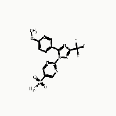 COc1ccc(-c2nc(C(F)(F)F)nn2-c2ncc(S(C)(=O)=O)cn2)cc1